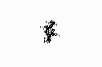 C=CC(=O)N[C@H]1COC[C@H]1Nc1ncc2cc(-c3c(Cl)c(OC)cc(OCC4CC(n5cc(-c6nc(-c7c(Cl)c(OC)cc(OC)c7Cl)cc7cnc(N[C@@H]8COC[C@@H]8NC(=O)C=C)nc67)cn5)CO4)c3Cl)nc(CCc3ccccc3)c2n1